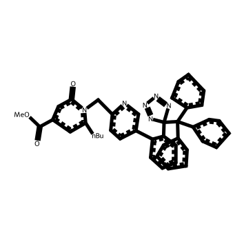 CCCCc1cc(C(=O)OC)cc(=O)n1Cc1ccc(-c2ccccc2C2(C(c3ccccc3)(c3ccccc3)c3ccccc3)N=NN=N2)cn1